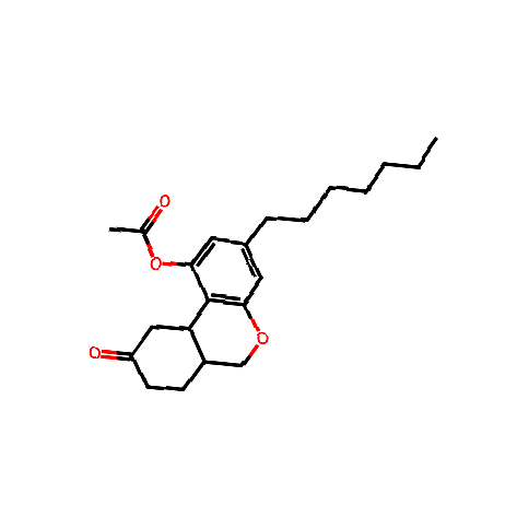 CCCCCCCc1cc2c(c(OC(C)=O)c1)C1CC(=O)CCC1CO2